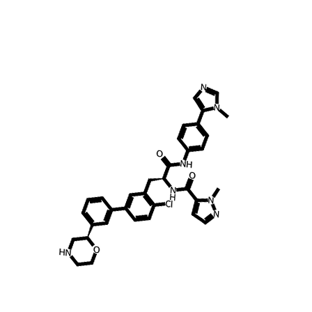 Cn1cncc1-c1ccc(NC(=O)[C@H](Cc2cc(-c3cccc([C@@H]4CNCCO4)c3)ccc2Cl)NC(=O)c2ccnn2C)cc1